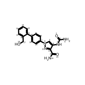 NC(=O)Nc1cn(-c2ccc(-c3ccccc3CO)cc2)nc1C(N)=O